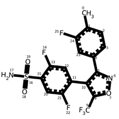 Cc1ccc(-c2noc(C(F)(F)F)c2-c2cc(F)c(S(N)(=O)=O)cc2F)cc1F